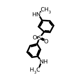 CNc1cccc(S(=O)(=O)c2cccc(NC)c2)c1